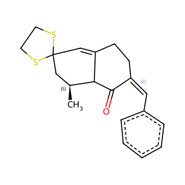 C[C@H]1CC2(C=C3CC/C(=C/c4ccccc4)C(=O)C31)SCCS2